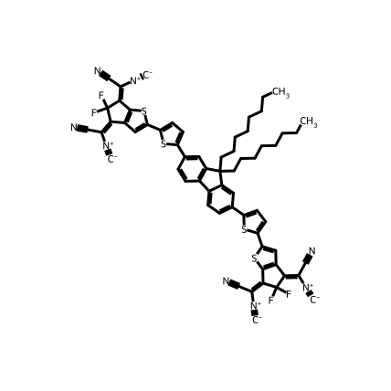 [C-]#[N+]/C(C#N)=C1\c2sc(-c3ccc(-c4ccc5c(c4)C(CCCCCCCC)(CCCCCCCC)c4cc(-c6ccc(-c7cc8c(s7)/C(=C(\C#N)[N+]#[C-])C(F)(F)/C8=C(/C#N)[N+]#[C-])s6)ccc4-5)s3)cc2/C(=C(/C#N)[N+]#[C-])C1(F)F